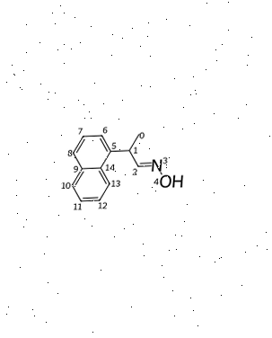 CC(C=NO)c1cccc2ccccc12